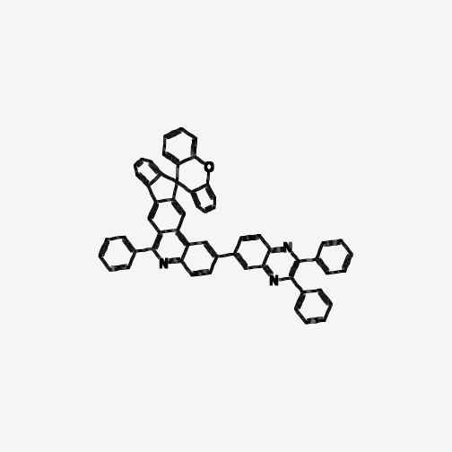 c1ccc(-c2nc3ccc(-c4ccc5nc(-c6ccccc6)c6cc7c(cc6c5c4)C4(c5ccccc5Oc5ccccc54)c4ccccc4-7)cc3nc2-c2ccccc2)cc1